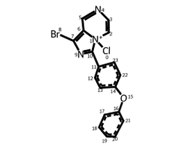 Cl[N+]12C=CN=CC1=C(Br)N=C2c1ccc(Oc2ccccc2)cc1